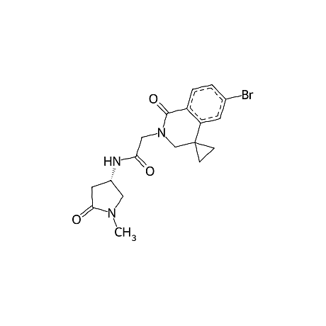 CN1C[C@@H](NC(=O)CN2CC3(CC3)c3cc(Br)ccc3C2=O)CC1=O